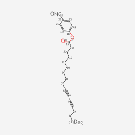 CCCCCCCCCCCCC#CC#CCCCCCCCCC(=O)Oc1ccc(C=O)cc1